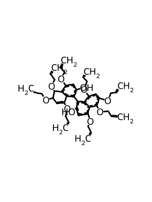 C=CCOC1=CC(OCC=C)[C@@H](OCC=C)c2c(OCC=C)cc(O)c(-c3c(O)cc(OCC=C)c4c(OCC=C)c(OCC=C)cc(OCC=C)c34)c21